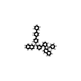 C1=CC(N(c2cccc(-c3cccc4c3c3ccc5ccccc5c3n4-c3ccccc3)c2)c2ccc3ccccc3c2)CC=C1c1ccc(-c2ccccc2)cc1